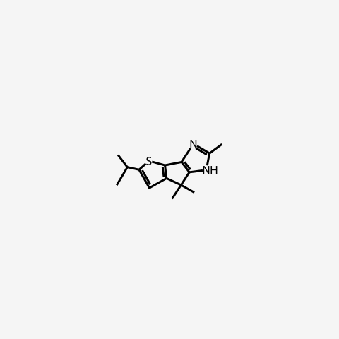 Cc1nc2c([nH]1)C(C)(C)c1cc(C(C)C)sc1-2